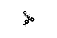 CC(=O)c1ccc(C(c2ccccc2)C(C)(C)C(=O)Nc2nncs2)cc1